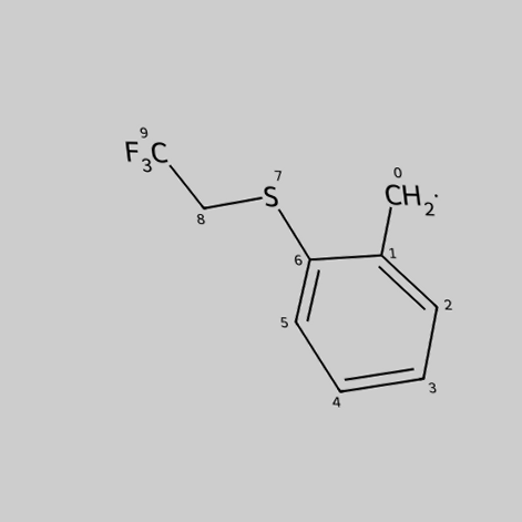 [CH2]c1ccccc1SCC(F)(F)F